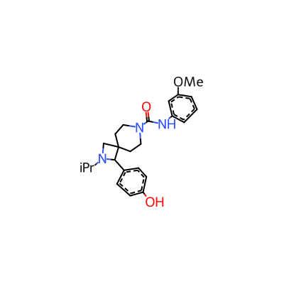 COc1cccc(NC(=O)N2CCC3(CC2)CN(C(C)C)C3c2ccc(O)cc2)c1